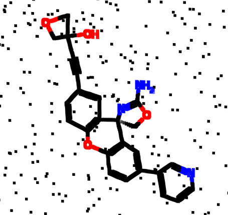 NC1=N[C@]2(CO1)c1cc(C#CC3(O)COC3)ccc1Oc1ccc(-c3cccnc3)cc12